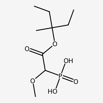 CCC(C)(CC)OC(=O)C(OC)P(=O)(O)O